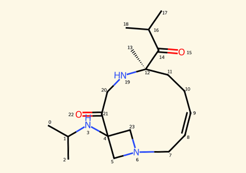 CC(C)NC12CN(CC=CCC[C@](C)(C(=O)C(C)C)NCC1=O)C2